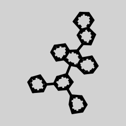 c1ccc(-c2cc(-c3ccccc3)cc(-c3c4ccccc4c(-c4ccc5ccccc5c4)c4ccccc34)c2)cc1